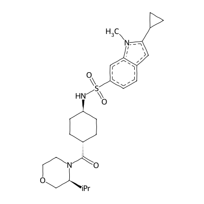 CC(C)[C@H]1COCCN1C(=O)[C@H]1CC[C@H](NS(=O)(=O)c2ccc3cc(C4CC4)n(C)c3c2)CC1